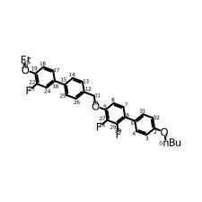 CCCCOc1ccc(-c2ccc(OCc3ccc(-c4ccc(OCC)c(F)c4)cc3)c(F)c2F)cc1